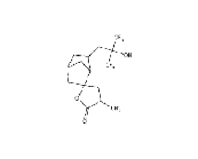 CC1CC2(CC3CC(CC(O)(C(F)(F)F)C(F)(F)F)C2C3)OC1=O